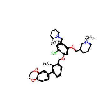 Cc1c(COc2cc(OCC3CCCN(C)C3)c(CN3CCCC[C@H]3C(=O)O)cc2Cl)cccc1-c1ccc2c(c1)OCCO2